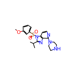 COc1cccc(S(=O)(=O)n2c(C(C)C)nc3c(N4CCNCC4)nccc32)c1